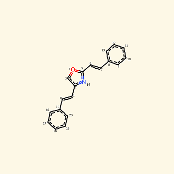 C(=Cc1coc(C=Cc2ccccc2)n1)c1ccccc1